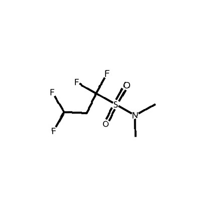 CN(C)S(=O)(=O)C(F)(F)CC(F)F